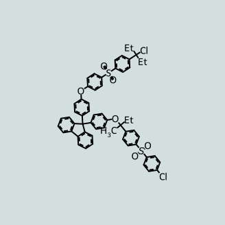 CCC(Cl)(CC)c1ccc(S(=O)(=O)c2ccc(Oc3ccc(C4(c5ccc(OC(C)(CC)c6ccc(S(=O)(=O)c7ccc(Cl)cc7)cc6)cc5)c5ccccc5-c5ccccc54)cc3)cc2)cc1